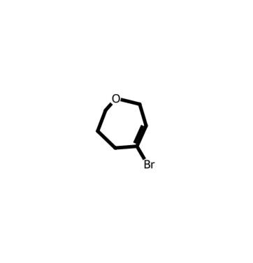 BrC1=CCOCCC1